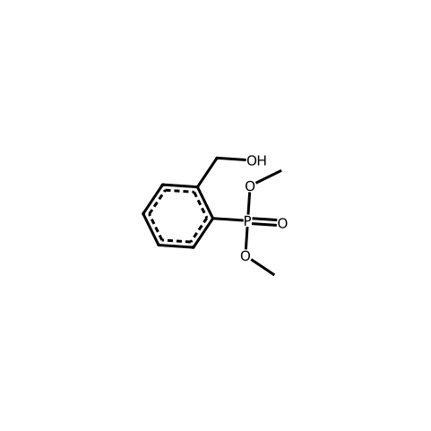 COP(=O)(OC)c1ccccc1CO